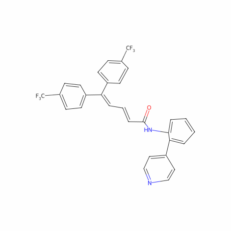 O=C(C=CC=C(c1ccc(C(F)(F)F)cc1)c1ccc(C(F)(F)F)cc1)Nc1ccccc1-c1ccncc1